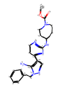 CC(C)(C)OC(=O)N1CCC(Nc2nccc(-c3cnn(Cc4ccccc4)c3N)n2)CC1